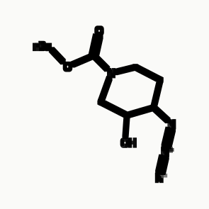 CCCCOC(=O)N1CCC(N=[N+]=[N-])C(O)C1